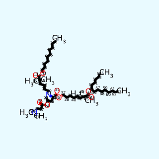 CCCCCCCCCCCOC(=O)C(C)(C)CCCCN1C[C@@H](OC(=O)CCN(C)C)C[C@H]1C(=O)OCCCCCCC(C)(C)C(=O)OC(CCCCCC)CCCCCCCC